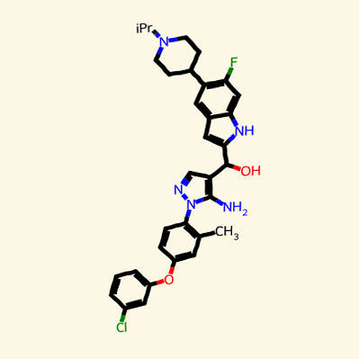 Cc1cc(Oc2cccc(Cl)c2)ccc1-n1ncc(C(O)c2cc3cc(C4CCN(C(C)C)CC4)c(F)cc3[nH]2)c1N